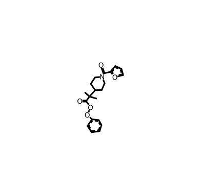 CC(C)(C(=O)OOc1ccccc1)C1CCN(C(=O)c2ccco2)CC1